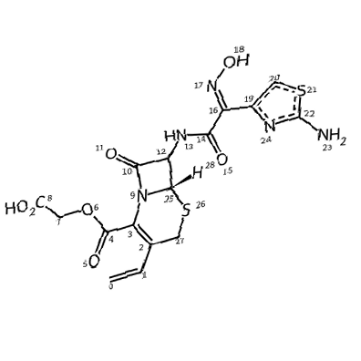 C=CC1=C(C(=O)OCC(=O)O)N2C(=O)C(NC(=O)C(=NO)c3csc(N)n3)[C@@H]2SC1